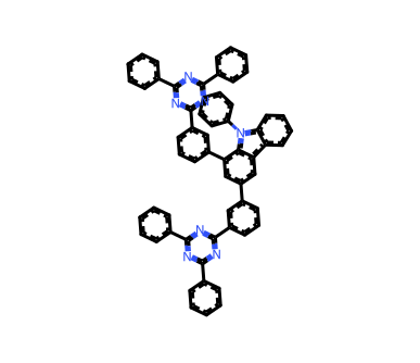 c1ccc(-c2nc(-c3ccccc3)nc(-c3cccc(-c4cc(-c5cccc(-c6nc(-c7ccccc7)nc(-c7ccccc7)n6)c5)c5c(c4)c4ccccc4n5-c4ccccc4)c3)n2)cc1